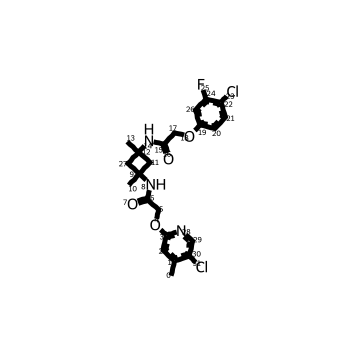 Cc1cc(OCC(=O)NC2(C)CC(C)(NC(=O)COc3ccc(Cl)c(F)c3)C2)ncc1Cl